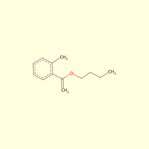 C=C(OCCCC)c1ccccc1C